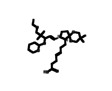 CCOCC(C)(C)C(C=C[C@@H]1CCC2(OCC(C)(C)CO2)[C@H]1CCC=CCCC(=O)O)OC1CCCCO1